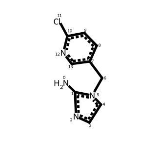 Nc1nccn1Cc1ccc(Cl)nc1